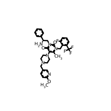 COc1ccc(CN2CCN(c3c(C)n(Cc4c(F)cccc4C(F)(F)F)c(=O)n(C[C@@H](N)c4ccccc4)c3=O)CC2)cn1